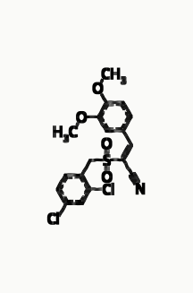 COc1ccc(C=C(C#N)S(=O)(=O)Cc2ccc(Cl)cc2Cl)cc1OC